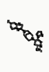 Cc1cc(N2CC3CC(CN(c4cnc5cc(F)ccc5n4)C3)C2)c(-n2cccn2)[c]n1